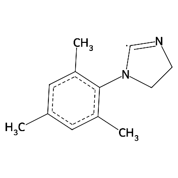 Cc1cc(C)c(N2[C]=NCC2)c(C)c1